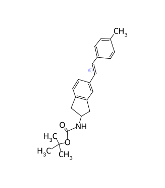 Cc1ccc(/C=C/c2ccc3c(c2)CC(NC(=O)OC(C)(C)C)C3)cc1